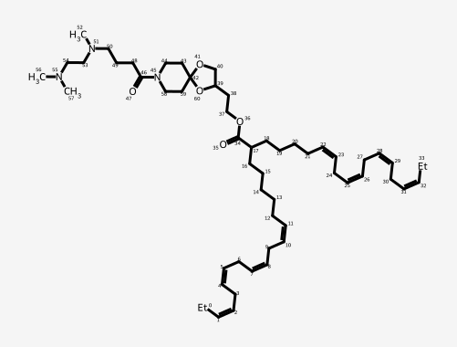 CC/C=C\C/C=C\C/C=C\C/C=C\CCCCCC(CCCC/C=C\C/C=C\C/C=C\C/C=C\CC)C(=O)OCCC1COC2(CCN(C(=O)CCCN(C)CCN(C)C)CC2)O1